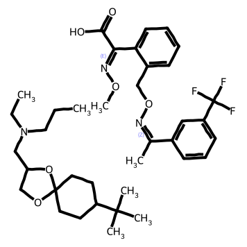 CCCN(CC)CC1COC2(CCC(C(C)(C)C)CC2)O1.CO/N=C(/C(=O)O)c1ccccc1CO/N=C(/C)c1cccc(C(F)(F)F)c1